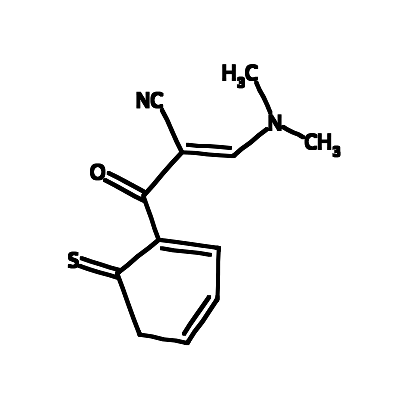 CN(C)C=C(C#N)C(=O)C1=CC=CCC1=S